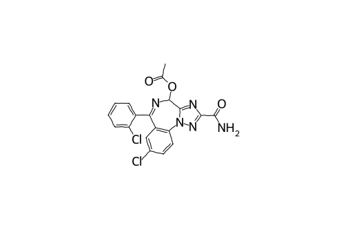 CC(=O)OC1N=C(c2ccccc2Cl)c2cc(Cl)ccc2-n2nc(C(N)=O)nc21